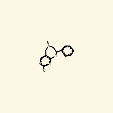 CN1Cc2cnc(Cl)nc2OC(c2ccccc2)C1